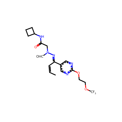 C/C=C\C(=N/N(C=O)CC(=O)NC1CCC1)c1cnc(OCCOC(F)(F)F)nc1